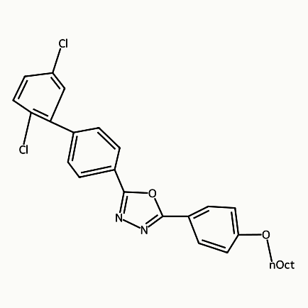 CCCCCCCCOc1ccc(-c2nnc(-c3ccc(-c4cc(Cl)ccc4Cl)cc3)o2)cc1